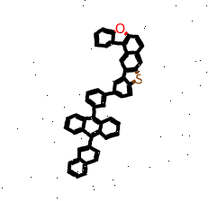 c1cc(-c2ccc3sc4cc5ccc6oc7ccccc7c6c5cc4c3c2)cc(-c2c3ccccc3c(-c3ccc4ccccc4c3)c3ccccc23)c1